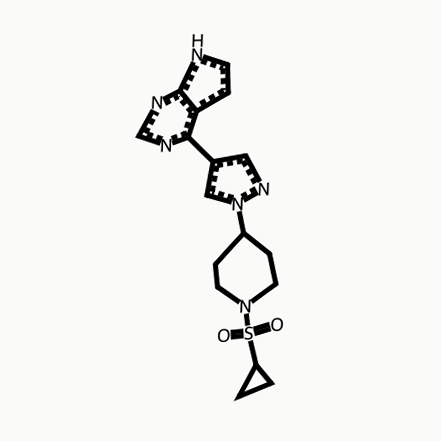 O=S(=O)(C1CC1)N1CCC(n2cc(-c3ncnc4[nH]ccc34)cn2)CC1